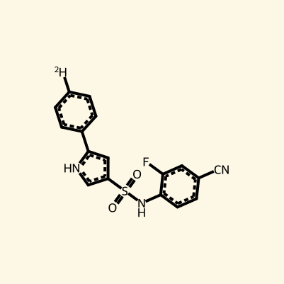 [2H]c1ccc(-c2cc(S(=O)(=O)Nc3ccc(C#N)cc3F)c[nH]2)cc1